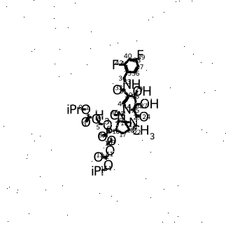 CC(C)OC(=O)OCOP(=O)(OCOC(=O)OC(C)C)[C@@H]1CCC2(C1)N(C)C(=O)C1=C(O)C(O)C(C(=O)NCc3ccc(F)cc3F)=CN1N2C